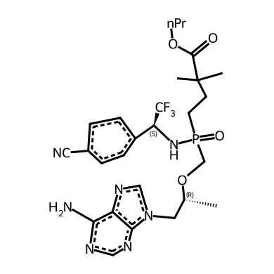 CCCOC(=O)C(C)(C)CCP(=O)(CO[C@H](C)Cn1cnc2c(N)ncnc21)N[C@@H](c1ccc(C#N)cc1)C(F)(F)F